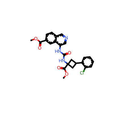 COC(=O)c1ccc2cncc(NC(=O)NC3(C(=O)OC)CC(c4ccccc4Cl)C3)c2c1